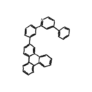 c1ccc(-c2ccnc(-c3cccc(-c4ccc5c6ccccc6c6ccccc6c5c4)c3)c2)cc1